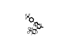 Cc1cc([C@H]2CN(C(=O)O)[C@@H](C)CO2)n2nc([C@H]3CC[C@H](C(F)(F)F)CC3)cc2n1